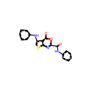 O=C(Nc1ccccc1)c1nc2scc(Nc3ccccc3)c2c(=O)o1